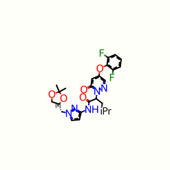 CC(C)CC(C(=O)Nc1ccn(C[C@@H]2COC(C)(C)O2)n1)n1ncc(Oc2c(F)cccc2F)cc1=O